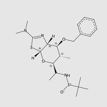 CC(N[S+]([O-])C(C)(C)C)[C@H]1O[C@@H]2SC(N(C)C)=N[C@@H]2[C@@H](OCc2ccccc2)[C@@H]1C